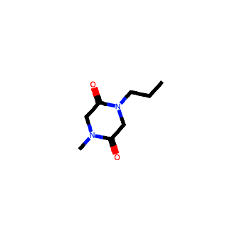 CCCN1CC(=O)N(C)CC1=O